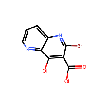 O=C(O)c1c(Br)nc2cccnc2c1O